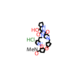 CNC(=O)c1ccc(Oc2ccc(CN3CCC4(CC3)C(=O)N[C@H]([C@H](O)C3CCCCC3)C(=O)N4CCc3ccc[n+]([O-])c3)cc2)cc1.Cl